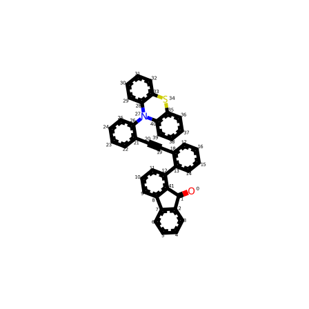 O=C1c2ccccc2-c2cccc(-c3ccccc3C#Cc3ccccc3N3c4ccccc4Sc4ccccc43)c21